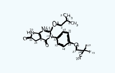 CC(C)COc1nc2c(c(=O)n1-c1ccc(OCC(F)(F)F)cc1)CC(=O)N2